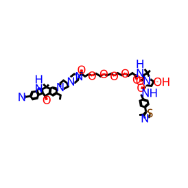 CCc1cc2c(cc1N1CCC(N3CCN(C(=O)CCOCCOCCOCCOCCC(=O)N[C@H](C(=O)N4C[C@H](O)C[C@H]4C(=O)NCc4ccc(-c5scnc5C)cc4)C(C)(C)C)CC3)CC1)C(C)(C)c1[nH]c3cc(C#N)ccc3c1C2=O